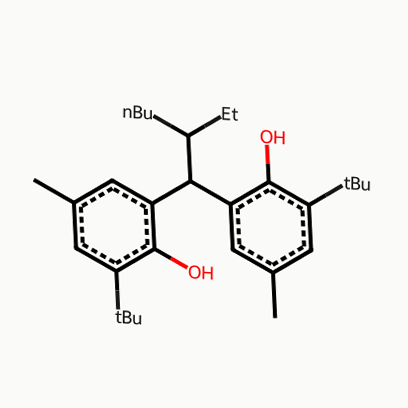 CCCCC(CC)C(c1cc(C)cc(C(C)(C)C)c1O)c1cc(C)cc(C(C)(C)C)c1O